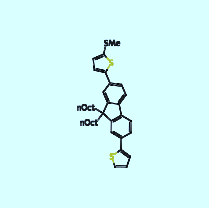 CCCCCCCCC1(CCCCCCCC)c2cc(-c3cccs3)ccc2-c2ccc(-c3ccc(SC)s3)cc21